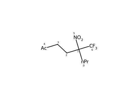 CCCC(CCC(C)=O)([N+](=O)[O-])C(F)(F)F